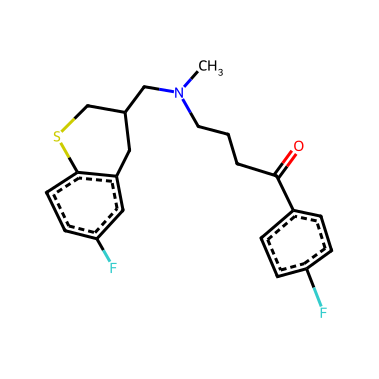 CN(CCCC(=O)c1ccc(F)cc1)CC1CSc2ccc(F)cc2C1